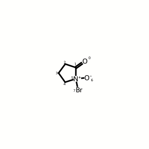 O=C1CCC[N+]1([O-])Br